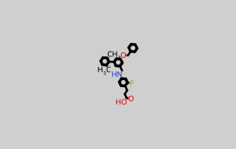 Cc1cccc(C)c1-c1cc(CNc2ccc(CCC(=O)O)c(F)c2)cc(OCc2ccccc2)c1